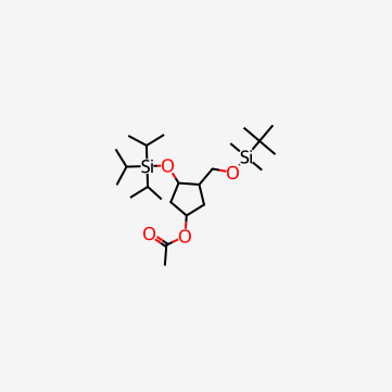 CC(=O)OC1CC(CO[Si](C)(C)C(C)(C)C)C(O[Si](C(C)C)(C(C)C)C(C)C)C1